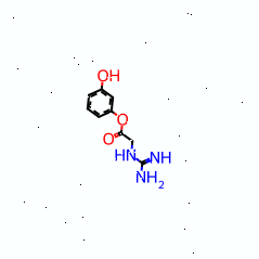 N=C(N)NCC(=O)Oc1cccc(O)c1